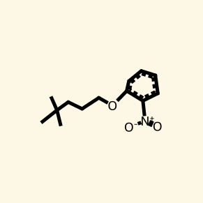 CC(C)(C)CCCOc1ccccc1[N+](=O)[O-]